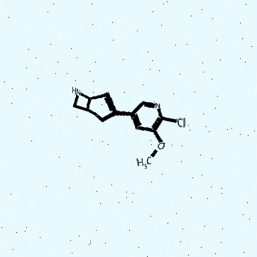 COc1cc(C2=CC3NCC3C2)cnc1Cl